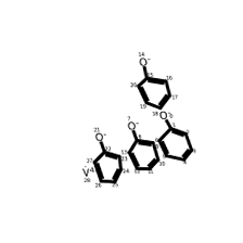 [O-]c1ccccc1.[O-]c1ccccc1.[O-]c1ccccc1.[O-]c1ccccc1.[V+4]